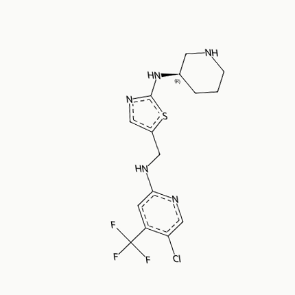 FC(F)(F)c1cc(NCc2cnc(N[C@@H]3CCCNC3)s2)ncc1Cl